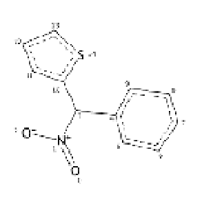 O=[N+]([O-])C(c1ccccc1)c1cccs1